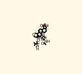 CN[C@@](C)(CO[C@H]1[C@H](n2nnc(NC(C)=O)n2)C[C@@]23COC[C@@]1(C)[C@@H]2CC[C@H]1C3=CC[C@@]2(C)C(C(=O)O)[C@@](C)([C@H](C)C(C)C)CC[C@]12C)C(C)C